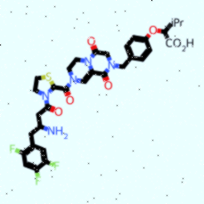 CC(C)C(Oc1ccc(CN2CC(=O)N3CCN(C(=O)C4SCCN4C(=O)CC(N)Cc4cc(F)c(F)cc4F)C=C3C2=O)cc1)C(=O)O